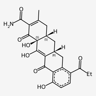 CCC(=O)c1ccc(O)c2c1C[C@H]1C[C@H]3CC(C)=C(C(N)=O)C(=O)[C@@]3(O)C(O)=C1C2=O